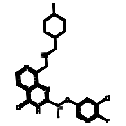 C[C@@H](Oc1ccc(F)c(Cl)c1)c1nc2c(CNCC3CCN(C)CC3)nccc2c(=O)[nH]1